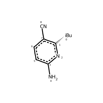 CC[C@@H](C)c1nc(N)ccc1C#N